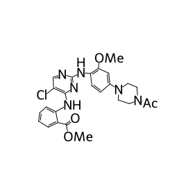 COC(=O)c1ccccc1Nc1nc(Nc2ccc(N3CCN(C(C)=O)CC3)cc2OC)ncc1Cl